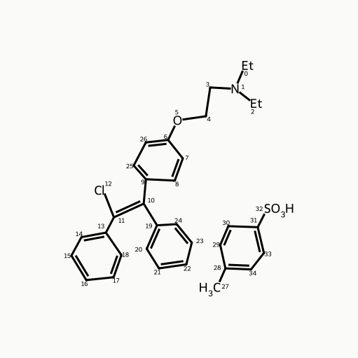 CCN(CC)CCOc1ccc(/C(=C(\Cl)c2ccccc2)c2ccccc2)cc1.Cc1ccc(S(=O)(=O)O)cc1